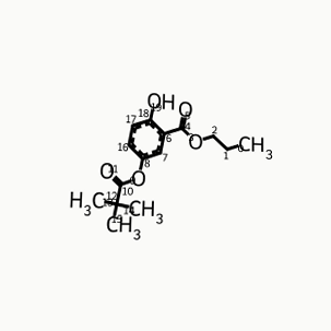 CCCOC(=O)c1cc(OC(=O)C(C)(C)C)ccc1O